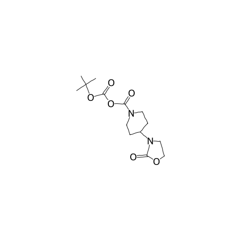 CC(C)(C)OC(=O)OC(=O)N1CCC(N2CCOC2=O)CC1